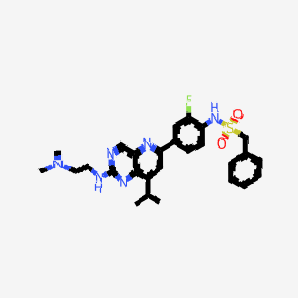 CC(C)c1cc(-c2ccc(NS(=O)(=O)Cc3ccccc3)c(F)c2)nc2cnc(NCCN(C)C)nc12